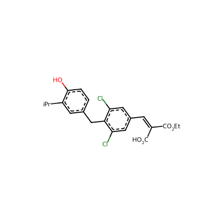 CCOC(=O)C(=Cc1cc(Cl)c(Cc2ccc(O)c(C(C)C)c2)c(Cl)c1)C(=O)O